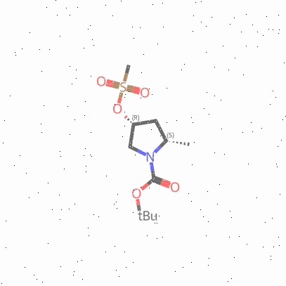 C[C@H]1C[C@@H](OS(C)(=O)=O)CN1C(=O)OC(C)(C)C